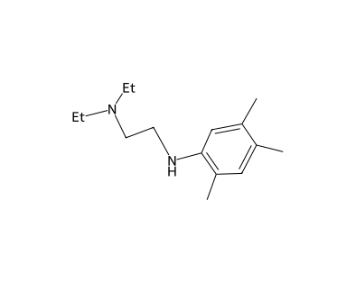 CCN(CC)CCNc1cc(C)c(C)cc1C